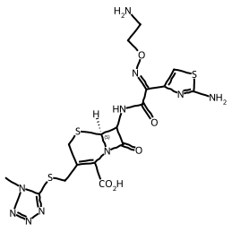 Cn1nnnc1SCC1=C(C(=O)O)N2C(=O)C(NC(=O)C(=NOCCN)c3csc(N)n3)[C@@H]2SC1